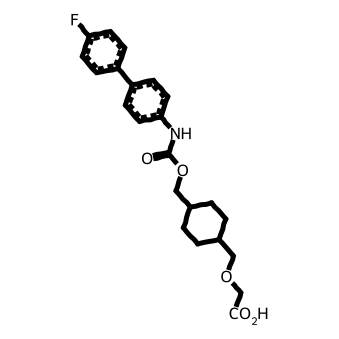 O=C(O)COCC1CCC(COC(=O)Nc2ccc(-c3ccc(F)cc3)cc2)CC1